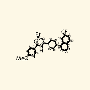 CCOC[C@H](NC(=O)c1ccc(OC)nc1)[C@H]1CC[C@@H](c2ccnc3ccc(C(F)(F)F)cc32)CC1